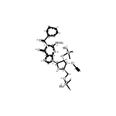 C#CO[C@H]1[C@@H](O[Si](C)(C)C(C)(C)C)[C@H](n2cnc3c(=O)n(C(=O)c4ccccc4)c(NC(C)=O)nc32)O[C@@H]1CO[Si](C)(C)C(C)(C)C